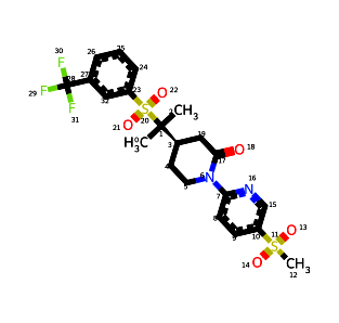 CC(C)([C@@H]1CCN(c2ccc(S(C)(=O)=O)cn2)C(=O)C1)S(=O)(=O)c1cccc(C(F)(F)F)c1